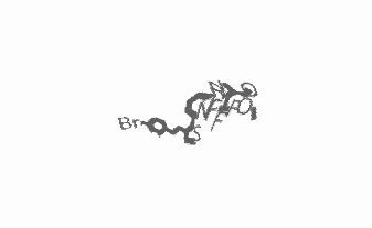 CCOC(=O)c1cnn(-c2cccc(-c3sccc3C=Cc3ccc(Br)cc3)n2)c1C(F)(F)F